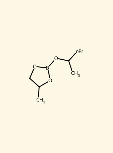 CCCC(C)OB1OCC(C)O1